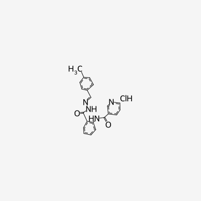 Cc1ccc(C=NNC(=O)c2ccccc2NC(=O)c2cccnc2)cc1.Cl